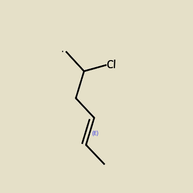 [CH2]C(Cl)C/C=C/C